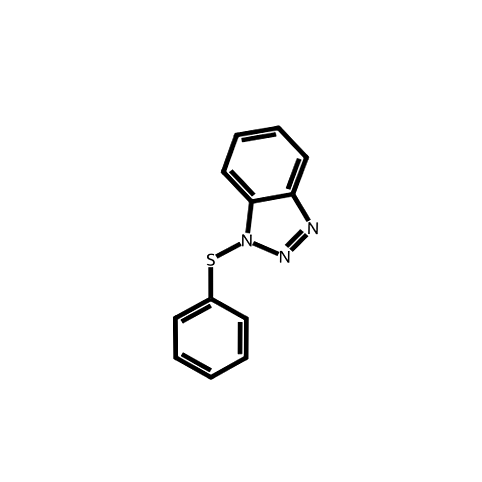 c1ccc(Sn2nnc3ccccc32)cc1